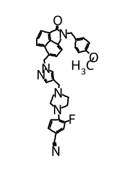 COc1ccc(CN2C(=O)c3cccc4c(Cn5cc(CN6CCN(c7ccc(C#N)cc7F)CC6)cn5)ccc2c34)cc1